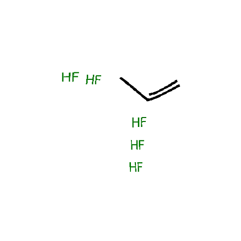 C=CC.F.F.F.F.F